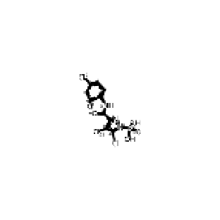 O=C(Nc1ccc(Cl)cc1Cl)c1nn(P(=O)(O)O)c(Cl)c1Cl